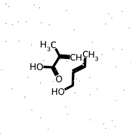 C=C(C)C(=O)O.CC=CCO